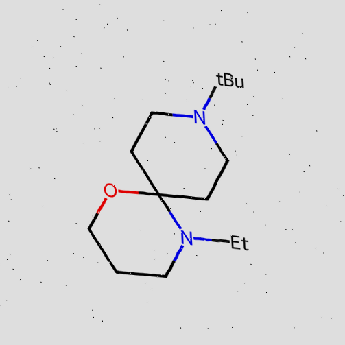 CCN1CCCOC12CCN(C(C)(C)C)CC2